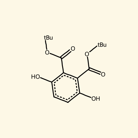 CC(C)(C)OC(=O)c1c(O)ccc(O)c1C(=O)OC(C)(C)C